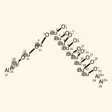 CCC(C)[O-].CCC(C)[O-].CCC(C)[O-].CCC(C)[O-].CCC(C)[O-].CCC(C)[O-].CCC(C)[O-].CCC(C)[O-].CCC(C)[O-].CCC(C)[O-].CCC(C)[O-].CCC(C)[O-].[Al+3].[Al+3].[Al+3].[Al+3]